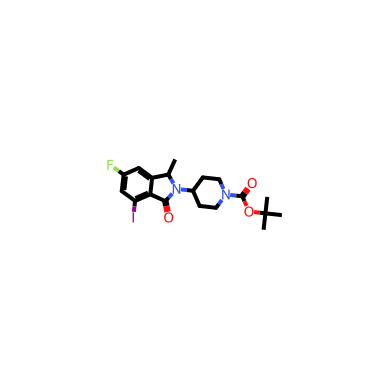 CC1c2cc(F)cc(I)c2C(=O)N1C1CCN(C(=O)OC(C)(C)C)CC1